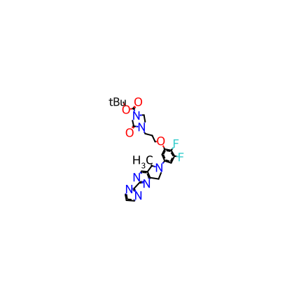 CC1c2cnc(-c3ncccn3)nc2CCN1c1cc(F)c(F)c(OCCCN2CCN(C(=O)OC(C)(C)C)CC2=O)c1